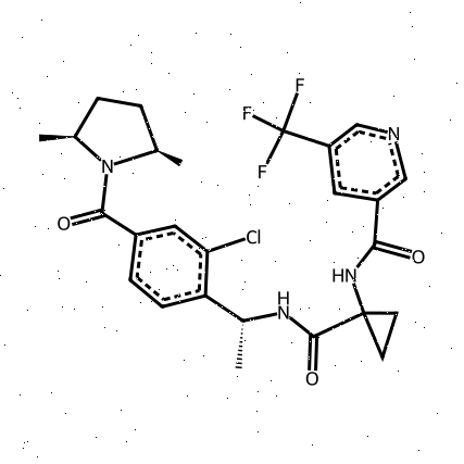 C[C@@H]1CC[C@H](C)N1C(=O)c1ccc([C@@H](C)NC(=O)C2(NC(=O)c3cncc(C(F)(F)F)c3)CC2)c(Cl)c1